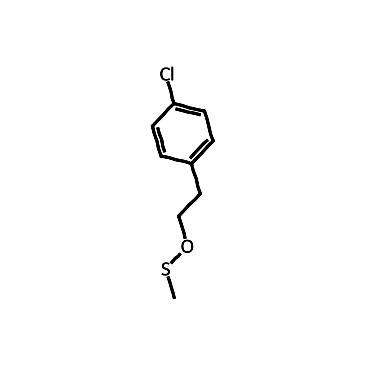 CSOCCc1ccc(Cl)cc1